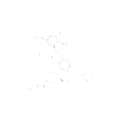 C=CC(=O)N1CCN(c2nc(OC[C@@H]3CCCN3C)nc3c2C[C@H](C)[C@@H](c2c(C)c(C)cc(N)c2F)C3)[C@@H](C)C1